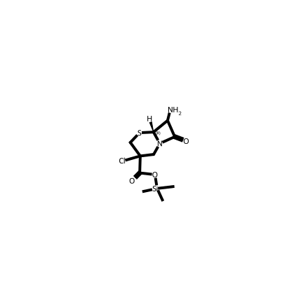 C[Si](C)(C)OC(=O)C1(Cl)CS[C@@H]2C(N)C(=O)N2C1